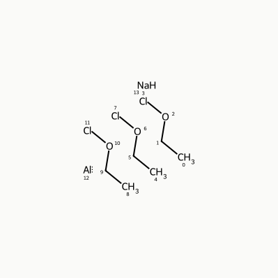 CCOCl.CCOCl.CCOCl.[Al].[NaH]